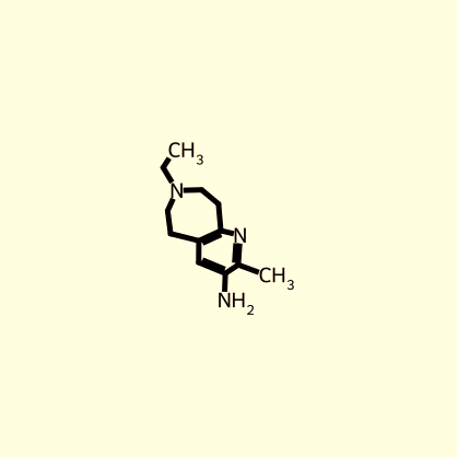 CCN1CCc2cc(N)c(C)nc2CC1